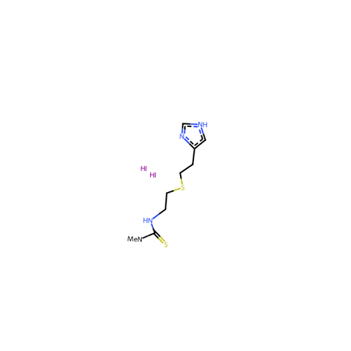 CNC(=S)NCCSCCc1c[nH]cn1.I.I